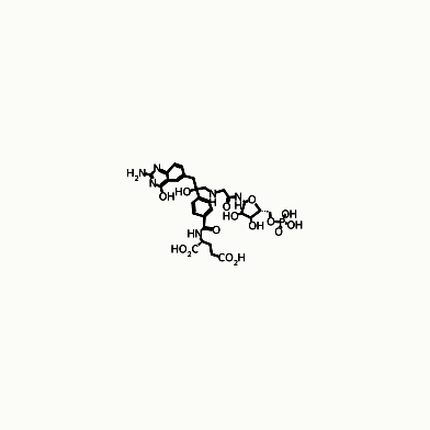 Nc1nc(O)c2cc(CC(O)(CNCC(=O)NC3O[C@H](COP(=O)(O)O)[C@@H](O)[C@H]3O)c3ccc(C(=O)N[C@@H](CCC(=O)O)C(=O)O)cc3)ccc2n1